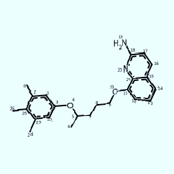 Cc1cc(OC(C)CCCOc2cccc3ccc(N)nc23)cc(C)c1C